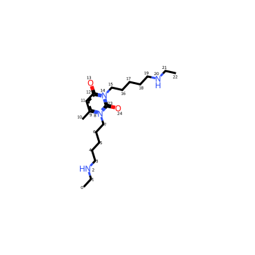 CCNCCCCCn1c(C)cc(=O)n(CCCCCNCC)c1=O